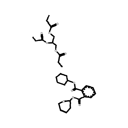 CCC(=O)OCC(COC(=O)CC)OC(=O)CC.O=C(OC1CCCCC1)c1ccccc1C(=O)OC1CCCCC1